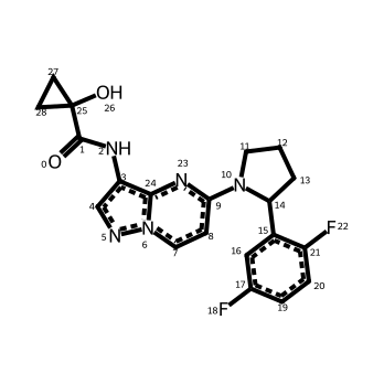 O=C(Nc1cnn2ccc(N3CCCC3c3cc(F)ccc3F)nc12)C1(O)CC1